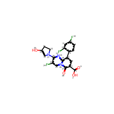 O=C(O)c1cc(-c2ccc(F)cc2F)c2nc(N3C=C(O)CC3)c(F)cn2c1=O